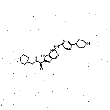 O=C(NCN1CCCCC1)c1cc2cnc(Nc3ccc(N4CCNCC4)cn3)nc2[nH]1